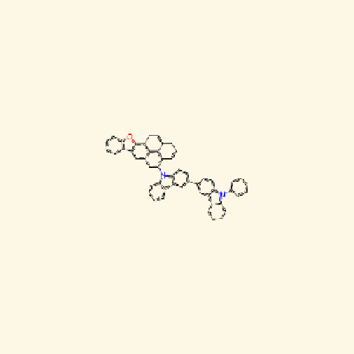 C1=Cc2c(-n3c4ccccc4c4cc(-c5ccc6c(c5)c5ccccc5n6-c5ccccc5)ccc43)cc3cc4c(oc5ccccc54)c4c3c2C(=CC4)C1